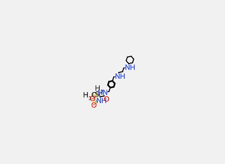 C[SiH2][C@H](N[SH](=O)=O)C(=O)NCc1ccc(CNCCCNC2CCCCC2)cc1